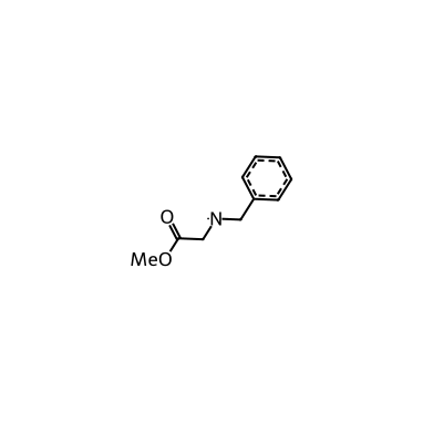 COC(=O)C[N]Cc1ccccc1